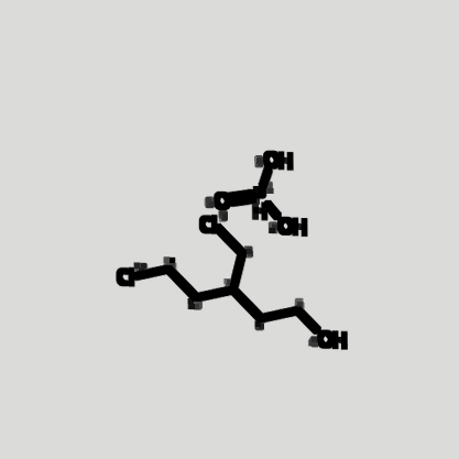 O=[PH](O)O.OCCC(CCl)CCCl